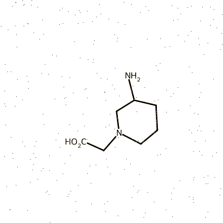 NC1CCCN(CC(=O)O)C1